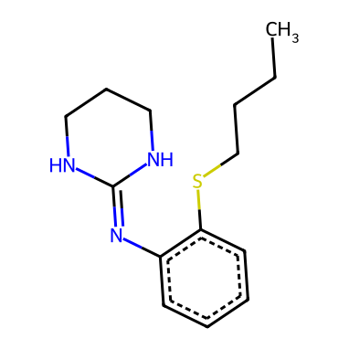 CCCCSc1ccccc1N=C1NCCCN1